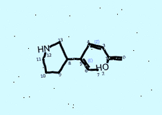 C=C(O)/C=C\C(=C/C)C1CCCNC1